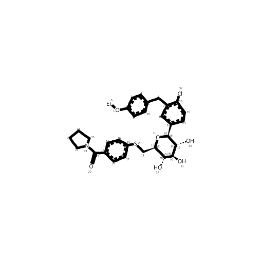 CCOc1ccc(Cc2cc([C@@H]3O[C@H](CSc4ccc(C(=O)N5CCCC5)cc4)[C@@H](O)[C@H](O)[C@H]3O)ccc2Cl)cc1